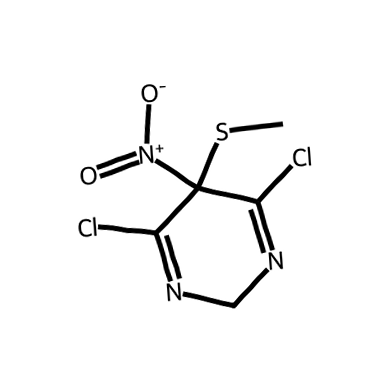 CSC1([N+](=O)[O-])C(Cl)=NCN=C1Cl